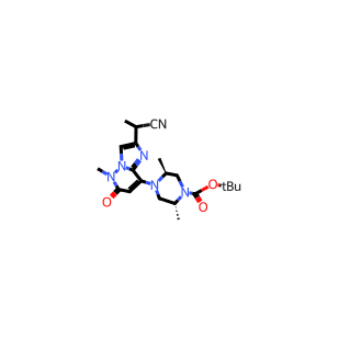 CC(C#N)c1cn2c(n1)c(N1C[C@@H](C)N(C(=O)OC(C)(C)C)C[C@@H]1C)cc(=O)n2C